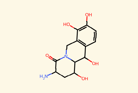 NC1CC(O)C2C(O)c3ccc(O)c(O)c3CN2C1=O